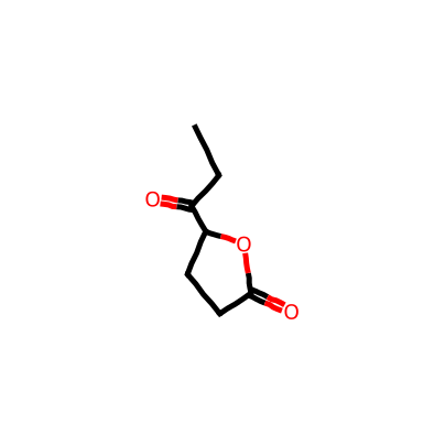 CCC(=O)C1CCC(=O)O1